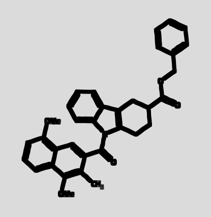 COc1cccc2c(OC)c(C)c(C(=O)n3c4c(c5ccccc53)CC(C(=O)OCc3ccccc3)CC4)cc12